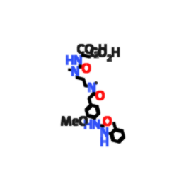 COc1cc(CC(=O)N(C)CCCN(C)C(=O)NC(CC(=O)O)C(=O)O)ccc1NC(=O)Nc1ccccc1C